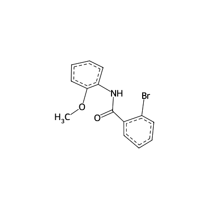 COc1ccccc1NC(=O)c1ccccc1Br